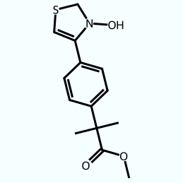 COC(=O)C(C)(C)c1ccc(C2=CSCN2O)cc1